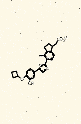 Cc1c(-c2ncc(-c3ccc(OC4CCC4)c(C#N)c3)s2)ccc2c1CCC2CC(=O)O